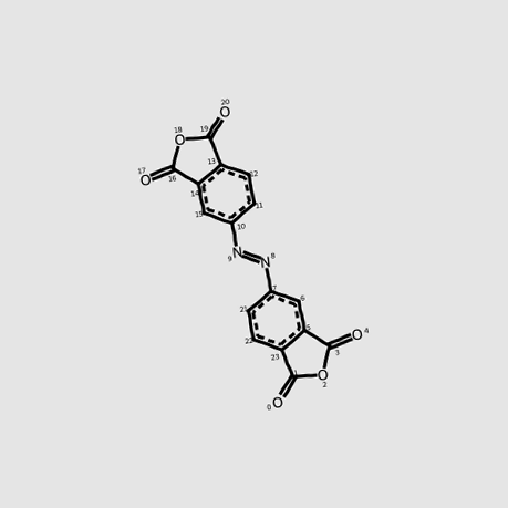 O=C1OC(=O)c2cc(/N=N/c3ccc4c(c3)C(=O)OC4=O)ccc21